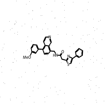 COc1cccc(-c2ccc(CNC(=O)Cc3nc(-c4ccccc4)cs3)c3cnccc23)c1